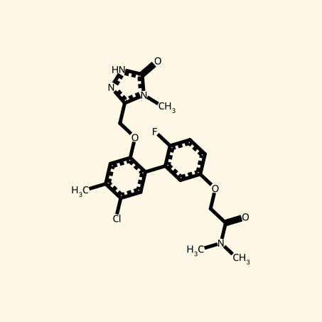 Cc1cc(OCc2n[nH]c(=O)n2C)c(-c2cc(OCC(=O)N(C)C)ccc2F)cc1Cl